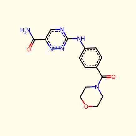 NC(=O)c1cnc(Nc2ccc(C(=O)N3CCOCC3)cc2)nn1